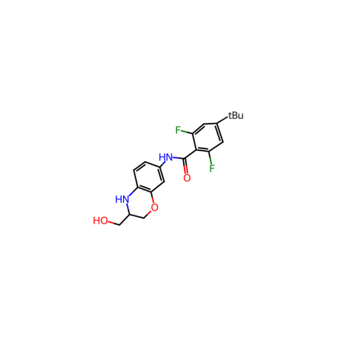 CC(C)(C)c1cc(F)c(C(=O)Nc2ccc3c(c2)OCC(CO)N3)c(F)c1